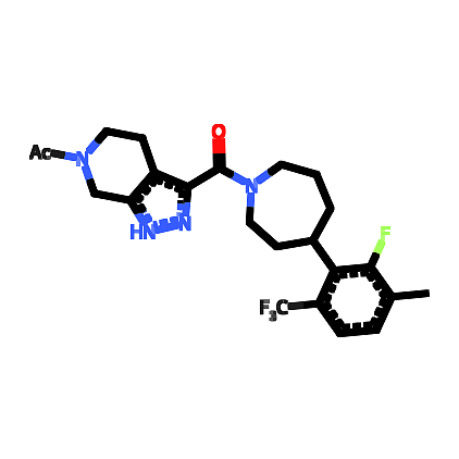 CC(=O)N1CCc2c(C(=O)N3CCCC(c4c(C(F)(F)F)ccc(C)c4F)CC3)n[nH]c2C1